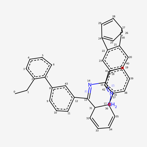 CCc1ccccc1-c1cccc(/C(=N/C(=N\N)c2ccc3c(c2)C2=CCC(C=C2)C3)C2C=CC=CC2c2ccccc2)c1